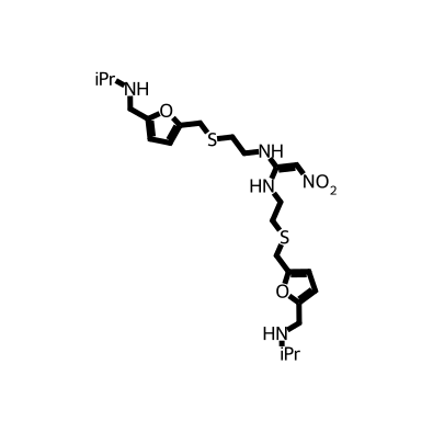 CC(C)NCc1ccc(CSCCNC(=C[N+](=O)[O-])NCCSCc2ccc(CNC(C)C)o2)o1